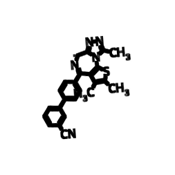 Cc1sc2c(c1C)C(c1ccc(-c3cccc(C#N)c3)cc1)=N[CH]c1nnc(C)n1-2